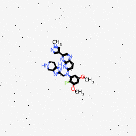 COc1cc(OC)c(F)c(N(Cc2nc3c([nH]2)CCNC3)c2ccc3ncc(-c4cnn(C)c4)nc3n2)c1